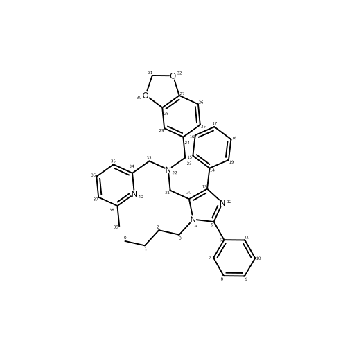 CCCCn1c(-c2ccccc2)nc(-c2ccccc2)c1CN(Cc1ccc2c(c1)OCO2)Cc1cccc(C)n1